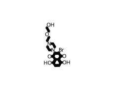 O=C1C(Br)=C(N2CCN(CCOCCO)CC2)C(=O)c2c(O)ccc(O)c21